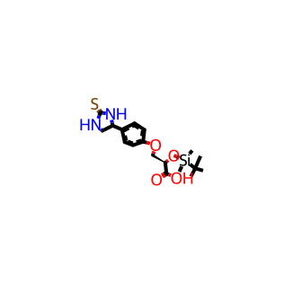 CC(C)(C)[Si](C)(C)O[C@H](COc1ccc(C2CNC(=S)N2)cc1)C(=O)O